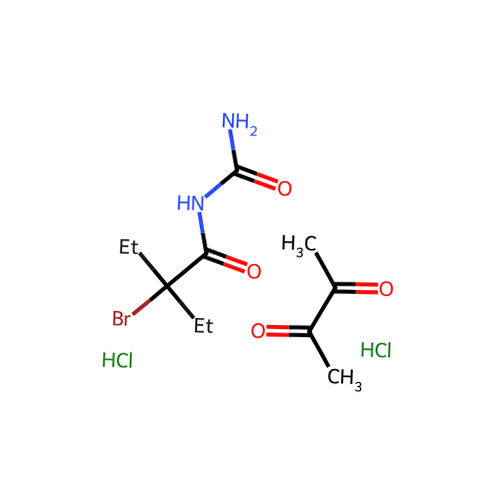 CC(=O)C(C)=O.CCC(Br)(CC)C(=O)NC(N)=O.Cl.Cl